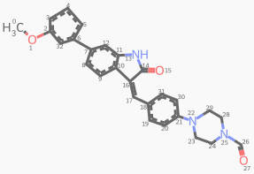 COc1cccc(-c2ccc3c(c2)NC(=O)/C3=C\c2ccc(N3CCN(C=O)CC3)cc2)c1